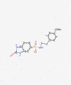 COc1ccc(CCNS(=O)(=O)c2ccc3c(c2)=NC(=O)N=3)cc1